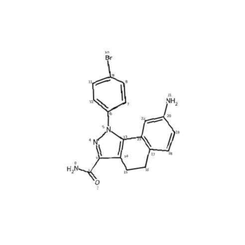 NC(=O)c1nn(-c2ccc(Br)cc2)c2c1CCc1ccc(N)cc1-2